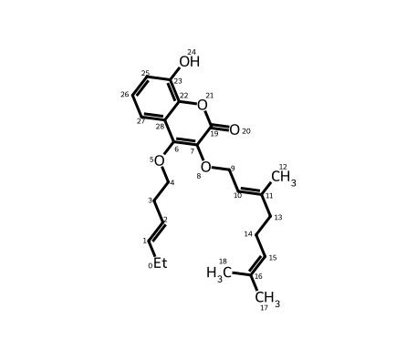 CCC=CCCOc1c(OC/C=C(\C)CCC=C(C)C)c(=O)oc2c(O)cccc12